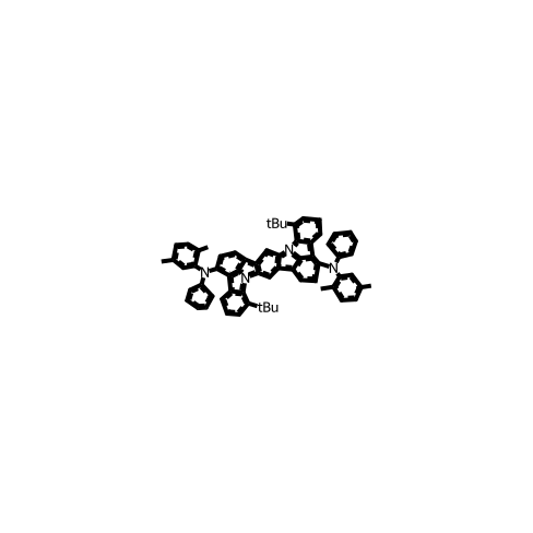 Cc1ccc(C)c(N(c2ccccc2)c2ccc3c4cc5c(cc4n4c6c(C(C)(C)C)cccc6c2c34)c2ccc(N(c3ccccc3)c3cc(C)ccc3C)c3c4cccc(C(C)(C)C)c4n5c23)c1